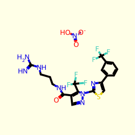 N=C(N)NCCCNC(=O)c1cnn(-c2nc(-c3cccc(C(F)(F)F)c3)cs2)c1C(F)(F)F.O=[N+]([O-])O